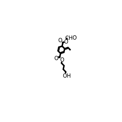 CC=C1C=C(C(=O)OCCCCO)C=CC1C(=O)OC=O